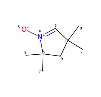 CC1(C)C=[N+]([O-])C(C)(C)C1